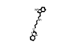 c1ccc2c(CCNCCCCOc3cnc4c(n3)CCCC4)c[nH]c2c1